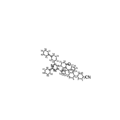 N#Cc1ccc(-c2ccc3c(c2)C2(c4ccccc4Oc4ccccc42)c2cc(-c4cc(-c5cccc(-c6ccccc6)c5)nc(-c5ccccc5)n4)ccc2-3)cc1